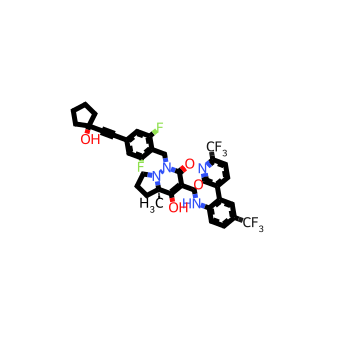 C[C@]12CCCN1N(Cc1c(F)cc(C#CC3(O)CCCC3)cc1F)C(=O)C(C(=O)Nc1ccc(C(F)(F)F)cc1-c1ccc(C(F)(F)F)nc1)=C2O